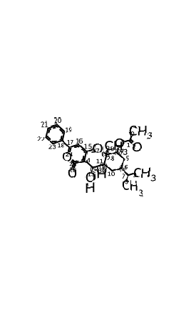 CC(=O)O[C@H]1C[C@@H](C(C)C)C[C@H]2[C@H](O)c3c(cc(-c4ccccc4)oc3=O)O[C@]12C